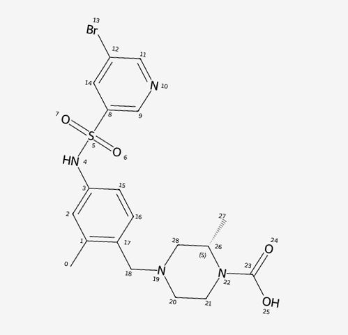 Cc1cc(NS(=O)(=O)c2cncc(Br)c2)ccc1CN1CCN(C(=O)O)[C@@H](C)C1